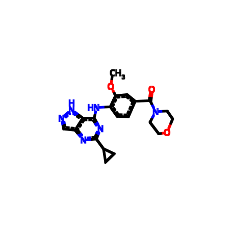 COc1cc(C(=O)N2CCOCC2)ccc1Nc1nc(C2CC2)nc2cn[nH]c12